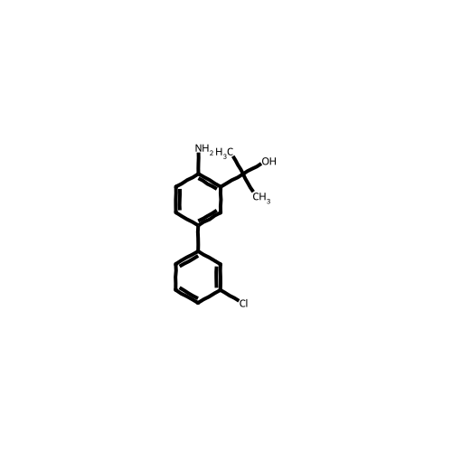 CC(C)(O)c1cc(-c2cccc(Cl)c2)ccc1N